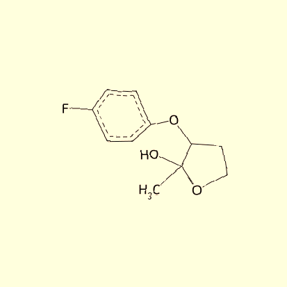 CC1(O)OCCC1Oc1ccc(F)cc1